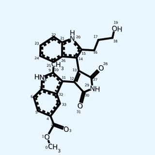 COC(=O)c1ccc2[nH]c(C)c(C3=C(c4c(CCCO)[nH]c5ccccc45)C(=O)NC3=O)c2c1